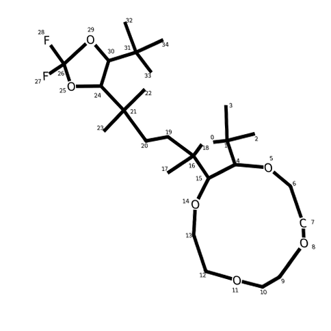 CC(C)(C)C1OCCOCCOCCOC1C(C)(C)CCC(C)(C)C1OC(F)(F)OC1C(C)(C)C